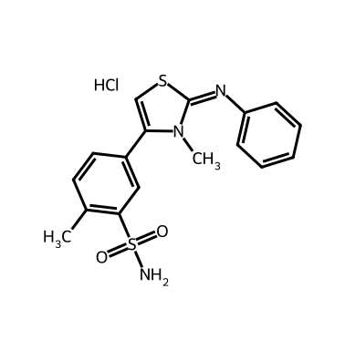 Cc1ccc(-c2cs/c(=N/c3ccccc3)n2C)cc1S(N)(=O)=O.Cl